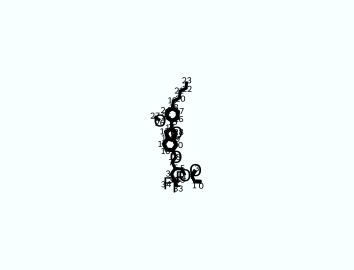 C=CC(=O)OCC(COc1ccc2cc(-c3ccc(CCCCC)cc3OC)oc2c1)CC(F)(F)F